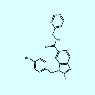 Cc1nc2ccc(C(=O)NCc3ccccn3)cc2n1Cc1ccc(C(C)(C)C)cc1